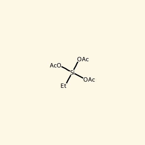 [CH2]C[Si](OC(C)=O)(OC(C)=O)OC(C)=O